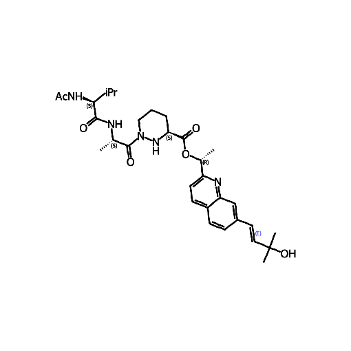 CC(=O)N[C@H](C(=O)N[C@@H](C)C(=O)N1CCC[C@@H](C(=O)O[C@H](C)c2ccc3ccc(/C=C/C(C)(C)O)cc3n2)N1)C(C)C